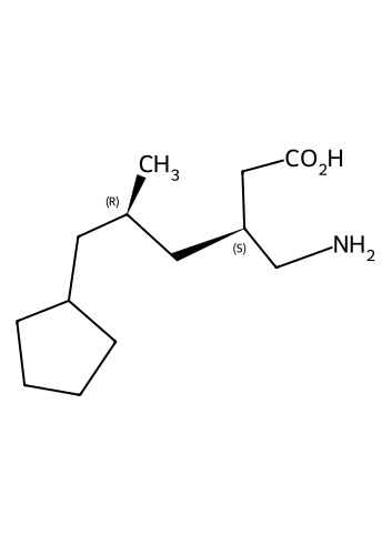 C[C@H](CC1CCCC1)C[C@H](CN)CC(=O)O